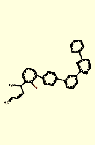 C=C/C=C\C(C)c1cccc(-c2ccc(-c3cccc(-c4cccc(-c5ccccc5)c4)c3)cc2)c1S